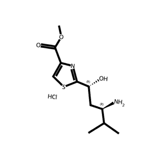 COC(=O)c1csc([C@H](O)C[C@@H](N)C(C)C)n1.Cl